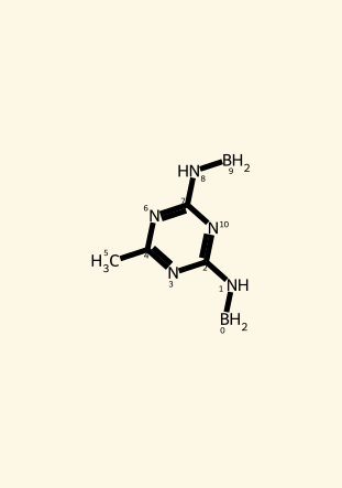 BNc1nc(C)nc(NB)n1